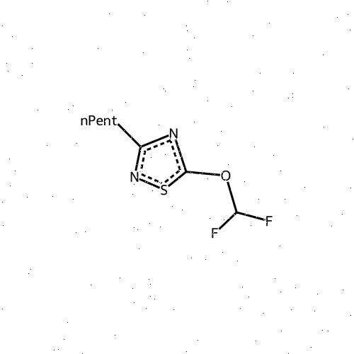 CCCCCc1nsc(OC(F)F)n1